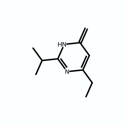 C=C1C=C(CC)N=C(C(C)C)N1